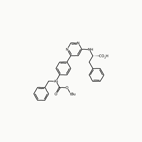 CC(C)(C)OC(=O)[As](Cc1ccccc1)c1ccc(-c2cc(N[C@@H](Cc3ccccc3)C(=O)O)ncn2)cc1